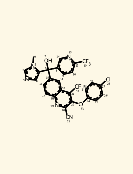 Cn1cncc1C(O)(c1ccc(C(F)(F)F)nc1)c1ccc2nc(C#N)c(Oc3ccc(Cl)cc3)c(C(F)(F)F)c2c1